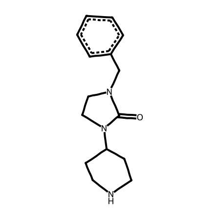 O=C1N(Cc2ccccc2)CCN1C1CCNCC1